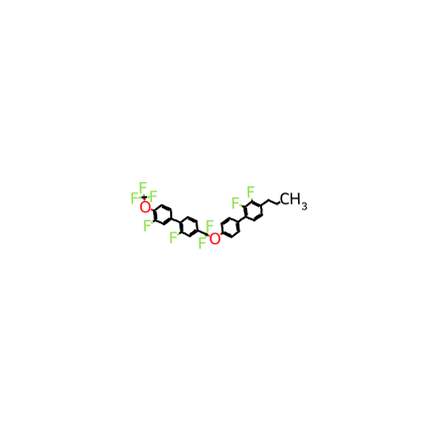 CCCc1ccc(-c2ccc(OC(F)(F)c3ccc(-c4ccc(OC(F)(F)F)c(F)c4)c(F)c3)cc2)c(F)c1F